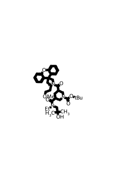 CCN(CC(C)(C)O)C(=O)C1CC(C(=O)NCC2(CCCCOC)c3ccccc3Oc3ccccc32)CN(C(=O)OC(C)(C)C)C1